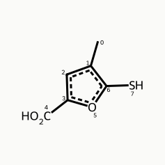 Cc1cc(C(=O)O)oc1S